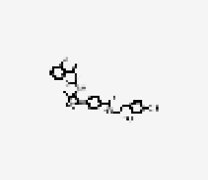 Cc1noc(-c2ccc(C(=O)N[C@H](Cc3ccc(C#N)cc3)C(=O)O)cc2)c1NC(=O)OC(C)c1ccccc1Cl